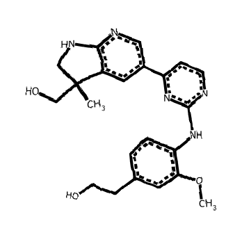 COc1cc(CCO)ccc1Nc1nccc(-c2cnc3c(c2)C(C)(CO)CN3)n1